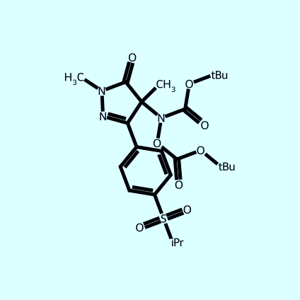 CC(C)S(=O)(=O)c1ccc(C2=NN(C)C(=O)C2(C)N(OC(=O)OC(C)(C)C)C(=O)OC(C)(C)C)cc1